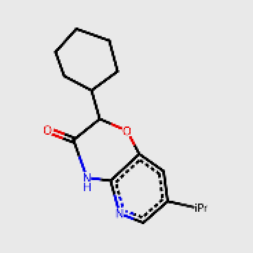 CC(C)c1cnc2c(c1)OC(C1CCCCC1)C(=O)N2